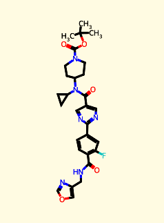 CC(C)(C)OC(=O)N1CCC(N(C(=O)c2cnc(-c3ccc(C(=O)NCc4cocn4)c(F)c3)nc2)C2CC2)CC1